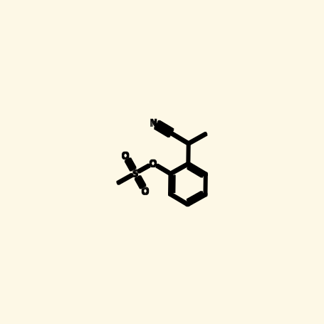 CC(C#N)c1ccccc1OS(C)(=O)=O